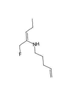 C=CCCCN/C(=C\CC)CF